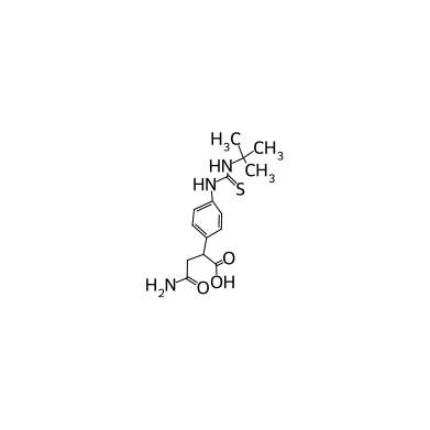 CC(C)(C)NC(=S)Nc1ccc(C(CC(N)=O)C(=O)O)cc1